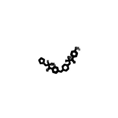 Cc1ccc(C(=O)C(C)(F)CN2CCC(Cc3ccc(C(=O)C(C)(F)CN4CCCC4)cc3)CC2)cc1